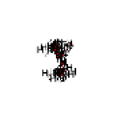 CC(=O)N[C@H]1[C@H]([C@H](OCC(=O)NCCn2cc(CN(Cc3cn(CCNC(=O)CO[C@@H]([C@@H]4OC(C(=O)O)=C[C@H](NC(=N)N)[C@H]4NC(C)=O)[C@H](O)CO)nn3)C(=O)CCOCCOCCOCCOCI)nn2)[C@H](O)CO)OC(C(=O)O)=C[C@@H]1NC(=N)N